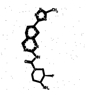 Cc1nnc(-c2ccc3cnc(NC(=O)N4CC[C@H](N)[C@H](F)C4)nc3c2)s1